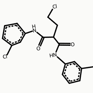 Cc1cccc(NC(=O)C(CCCl)C(=O)Nc2cccc(Cl)c2)c1